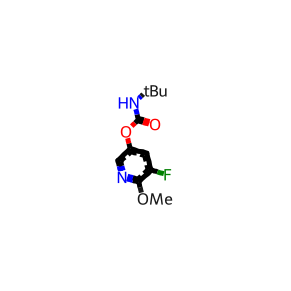 COc1ncc(OC(=O)NC(C)(C)C)cc1F